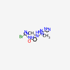 Cn1ncc(Br)c1CNC(=O)c1cccc(NCc2nnc(-c3ccncn3)n2C)c1